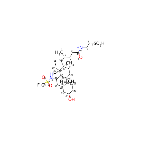 C[C@H](CCC(=O)NCCS(=O)(=O)O)[C@H]1CC[C@H]2[C@@H]3[C@@H](NS(=O)(=O)C(F)(F)F)CC4C[C@H](O)CC[C@]4(C)[C@H]3CC[C@]12C